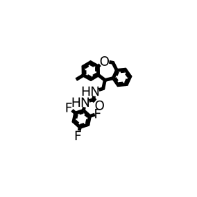 Cc1ccc2c(c1)C(CNC(=O)Nc1c(F)cc(F)cc1F)c1ccccc1CO2